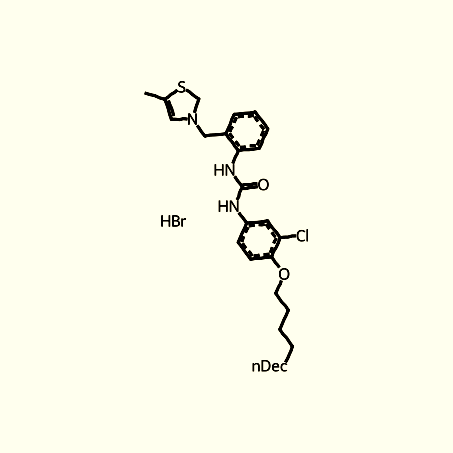 Br.CCCCCCCCCCCCCCOc1ccc(NC(=O)Nc2ccccc2CN2C=C(C)SC2)cc1Cl